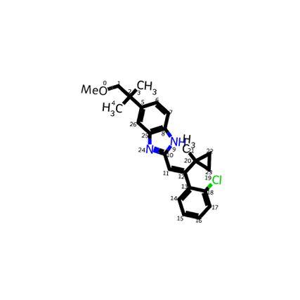 COCC(C)(C)c1ccc2[nH]c(/C=C(/c3ccccc3Cl)C3(C)CC3)nc2c1